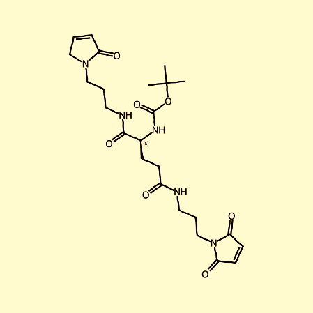 CC(C)(C)OC(=O)N[C@@H](CCC(=O)NCCCN1C(=O)C=CC1=O)C(=O)NCCCN1CC=CC1=O